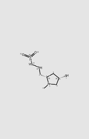 CN1C[C@@H](S)C[C@H]1CNN[SH](=O)=O